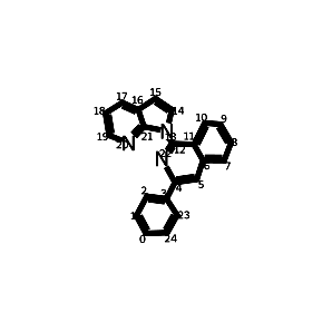 c1ccc(-c2cc3ccccc3c(-n3ccc4cccnc43)n2)cc1